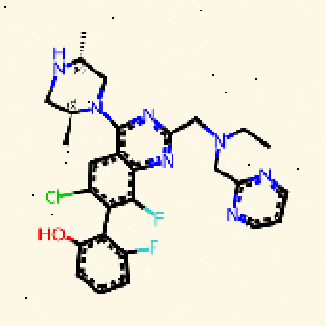 CCN(Cc1ncccn1)Cc1nc(N2C[C@@H](C)NC[C@@H]2C)c2cc(Cl)c(-c3c(O)cccc3F)c(F)c2n1